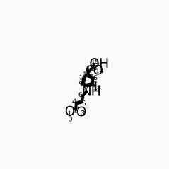 COC(=O)C=CCNc1ccc(CC(=O)O)cc1I